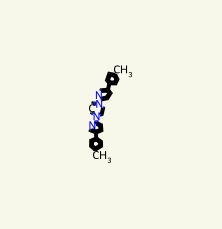 Cc1ccc(-c2ccc(N3CCCN(c4ccc(-c5ccc(C)cc5)cn4)CC3)nc2)cc1